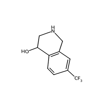 OC1CNCc2cc(C(F)(F)F)ccc21